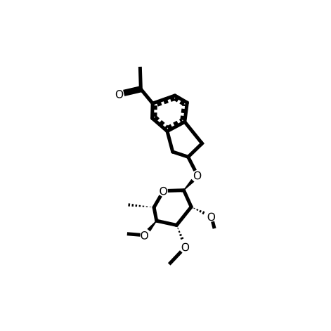 CO[C@@H]1[C@@H](OC)[C@H](C)O[C@@H](OC2Cc3ccc(C(C)=O)cc3C2)[C@@H]1OC